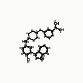 ON(O)c1cccc(CN2CCC(Nc3ncc(Cl)c(-c4c[nH]c5ccccc45)n3)CC2)c1